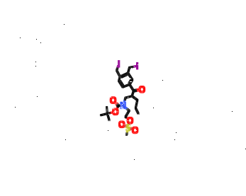 CCCC(CN(CCOS(C)(=O)=O)C(=O)OC(C)(C)C)C(=O)c1ccc(CI)c(CI)c1